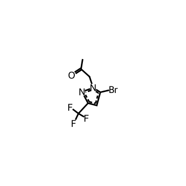 CC(=O)Cn1nc(C(F)(F)F)cc1Br